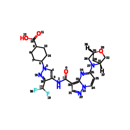 O=C(Nc1cn(C2CCC(C(=O)O)CC2)nc1C(F)F)c1cnn2ccc(N3C[C@H]4C[C@@H]3CO4)nc12